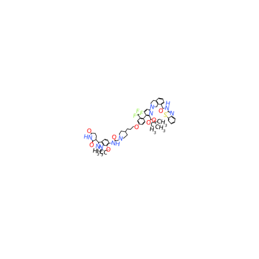 COc1c(NC(=O)CN2CCC(CCCOc3ccc(-c4ccc(N5CCc6cccc(C(=O)Nc7nc8ccccc8s7)c6C5)nc4C(=O)OC(C)(C)C)c(C(F)(F)F)c3)CC2)ccc2c(C3CCC(=O)NC3=O)nn(C)c12